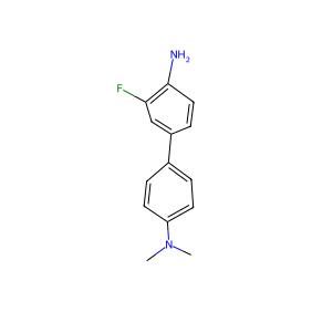 CN(C)c1ccc(-c2ccc(N)c(F)c2)cc1